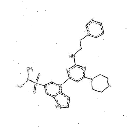 CN(C)S(=O)(=O)c1cc(-c2cc(N3CCOCC3)nc(NCCc3cccnc3)n2)c2cc[nH]c2c1